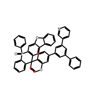 O=P1(c2ccccc2)c2ccccc2C2(c3ccccc3Oc3cc(-c4cc(-c5ccccc5)cc(-c5cccnc5)c4)ccc32)c2cc3c(cc21)oc1ccccc13